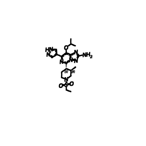 CCS(=O)(=O)N1CC[C@H](c2nc(-c3cn[nH]c3)c(OC(C)C)c3nc(N)nn23)[C@@H](C)C1